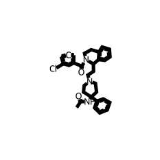 CC(=O)NC1(c2ccccc2)CCN(CCC2c3ccccc3CCN2C(=O)c2cccc(Cl)c2)CC1